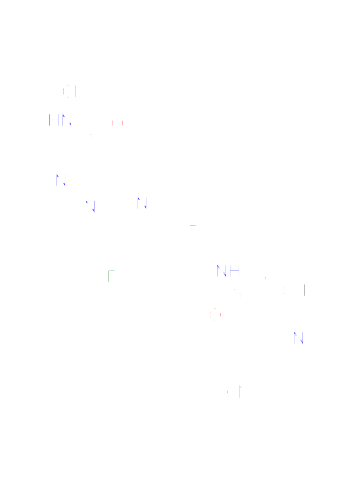 CNC(=O)c1ncn2cc(-c3c(F)ccc(NS(=O)(=O)c4cc(Cl)cnc4C)c3F)ncc12